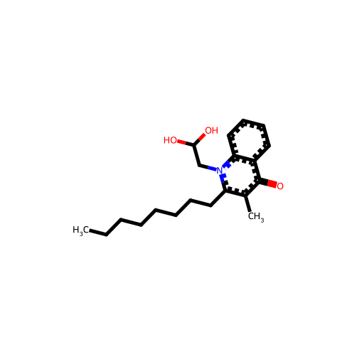 CCCCCCCCc1c(C)c(=O)c2ccccc2n1CC(O)O